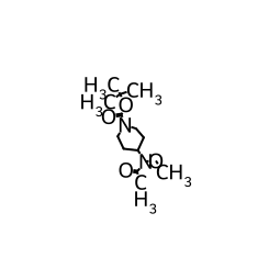 CON(C(C)=O)C1CCN(C(=O)OC(C)(C)C)CC1